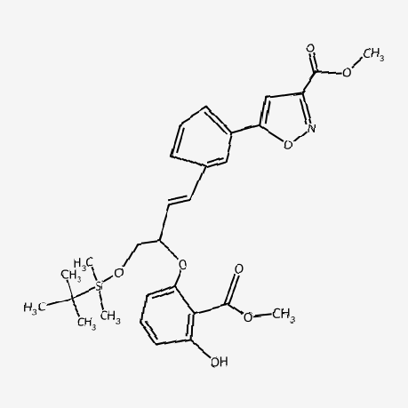 COC(=O)c1cc(-c2cccc(C=CC(CO[Si](C)(C)C(C)(C)C)Oc3cccc(O)c3C(=O)OC)c2)on1